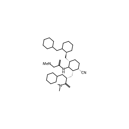 C=C(CNC)NC1[C@H](C[C@@H]2CCCCC2CC2CCCCC2)CC[C@H](C#N)[C@@H]1C[C@@H](CC1CCCCC1)C(=C)N(C)C